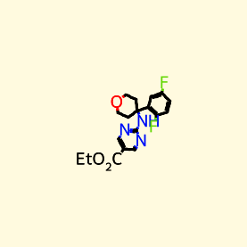 CCOC(=O)c1cnc(NC2(c3cc(F)ccc3F)CCOCC2)nc1